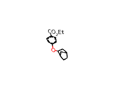 CCOC(=O)c1ccc(OC2CC3CCC2C3)cc1